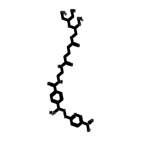 CCC(CO)OC(COC(=O)CCCC(=O)NCCNC(=O)c1ccc(C(C)SSc2ccc([N+](=O)[O-])cn2)cc1)OC